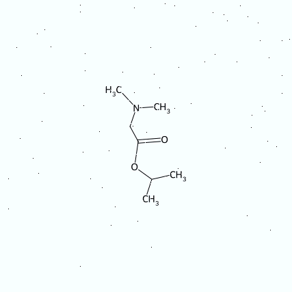 CC(C)OC(=O)CN(C)C